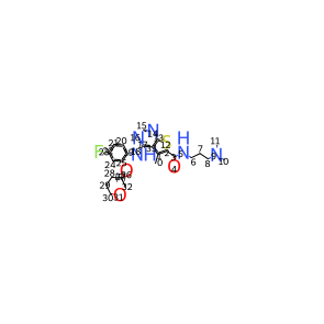 Cc1c(C(=O)NCCCN(C)C)sc2ncnc(Nc3ccc(F)cc3O[C@@H]3CCCOC3)c12